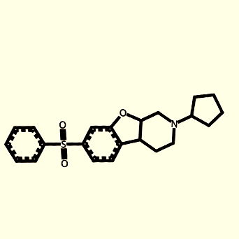 O=S(=O)(c1ccccc1)c1ccc2c(c1)OC1CN(C3CCCC3)CCC21